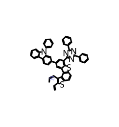 C=Cc1sc2ccc3sc4c(-c5nc(-c6ccccc6)nc(-c6ccccc6)n5)cc(-c5ccc6c7ccccc7n(-c7ccccc7)c6c5)cc4c3c2c1/C=C\C